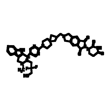 C[C@@H]1Cc2c([nH]c3ccccc23)[C@@H](c2cnc(N3CCC4(CC3)CC(CN3Cc5cc6c(cc5C3)C(=O)N([C@H]3CCC(=O)NC3=O)C6=O)C4)nc2)N1CC(F)(F)CO